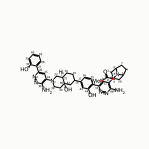 CNC(=O)CN1C2CCC1CN(c1cc(-c3ccc(C4CC[C@@H]5CN(c6cc(-c7ccccc7O)nnc6N)CC[C@@]5(O)C4)cc3O)nnc1N)C2